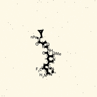 CCCN(CC1CC1)C(=O)c1coc(NC(=O)c2cc(-c3cc(C(F)(F)F)c4c(N)ncnn34)cnc2OC)n1